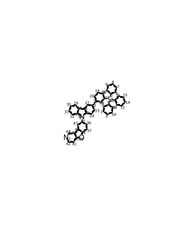 c1ccc([Si](c2ccccc2)(c2ccccc2)c2cccc(-c3ccc4c(c3)c3ccccc3n4-c3ccc4oc5ccncc5c4c3)c2)cc1